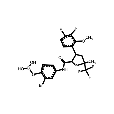 COc1c(C2CC(C)(C(F)(F)F)SC2C(=O)Nc2ccc(OB(O)O)c(Br)c2)ccc(F)c1F